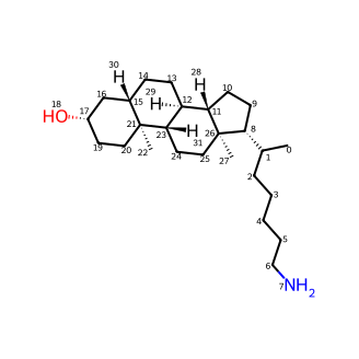 CC(CCCCCN)[C@H]1CC[C@H]2[C@@H]3CC[C@H]4C[C@@H](O)CC[C@]4(C)[C@H]3CC[C@]12C